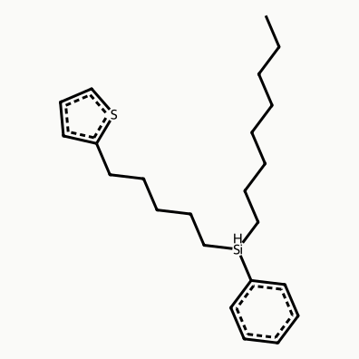 CCCCCCCC[SiH](CCCCCc1cccs1)c1ccccc1